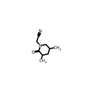 CC1CC(C)C(=O)N(CC#N)C1